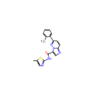 Cc1cnc(NC(=O)c2cnc3ccc(-c4ccccc4C(F)(F)F)nn23)s1